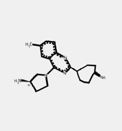 Cc1ccc2nc(C3CCC(=N)CC3)nc(N3CC[C@@H](N)C3)c2c1